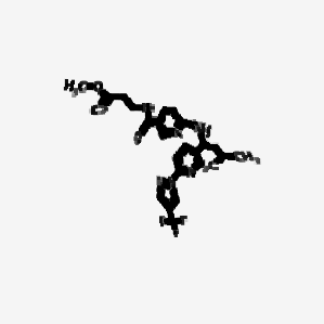 COC(=O)CCNC(=O)c1ccc(NC(CC(C)C)c2ccc(-n3cc(C(F)(F)F)cn3)nc2)nc1